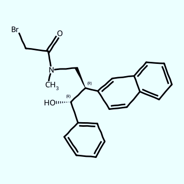 CN(C[C@@H](c1ccc2ccccc2c1)[C@@H](O)c1ccccc1)C(=O)CBr